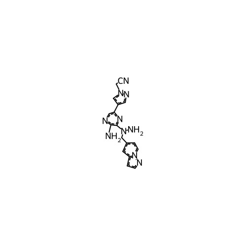 N#CCn1cc(-c2cnc(N)c(N(N)Cc3ccn4nccc4c3)n2)cn1